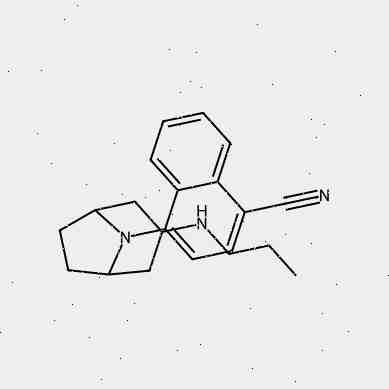 CCCNC1CC2CCC(C1)N2c1ccc(C#N)c2ccccc12